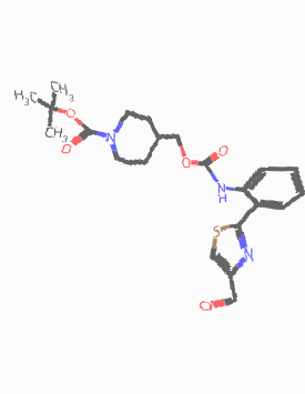 CC(C)(C)OC(=O)N1CCC(COC(=O)Nc2ccccc2-c2nc(C=O)cs2)CC1